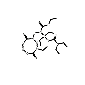 CCOC(=O)N(SN1SN(CC)C(=O)OSOC1=O)S(CC)(CC)SC(=S)N(CC)CC